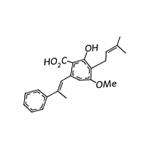 COc1cc(/C=C(\C)c2ccccc2)c(C(=O)O)c(O)c1CC=C(C)C